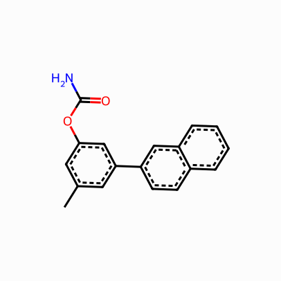 Cc1cc(OC(N)=O)cc(-c2ccc3ccccc3c2)c1